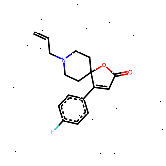 C=CCN1CCC2(CC1)OC(=O)C=C2c1ccc(F)cc1